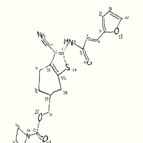 N#Cc1c(NC(=O)C=Cc2ccco2)sc2c1CCC(COC(=O)N1CCC1)C2